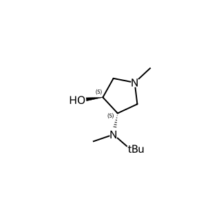 CN1C[C@H](O)[C@@H](N(C)C(C)(C)C)C1